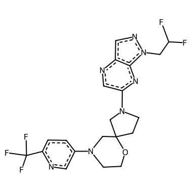 FC(F)Cn1ncc2ncc(N3CCC4(CN(c5ccc(C(F)(F)F)nc5)CCO4)C3)nc21